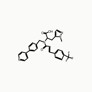 Cn1nccc1CC(C(=O)O)N(Cc1ccc(-c2ccncc2)cc1)C(=O)C=Cc1ccc(C(F)(F)F)cc1